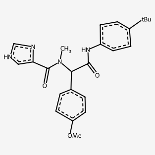 COc1ccc(C(C(=O)Nc2ccc(C(C)(C)C)cc2)N(C)C(=O)c2c[nH]cn2)cc1